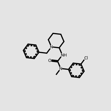 CN(C(=O)NC1CCCCN1Cc1ccccc1)c1cccc(Cl)c1